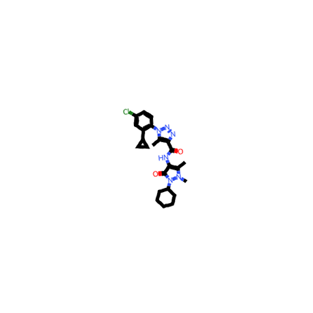 Cc1c(C(=O)Nc2c(C)n(C)n(C3CCCCC3)c2=O)nnn1-c1ccc(Cl)cc1C1CC1